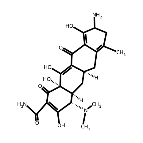 CC1=C2C[C@H]3C[C@H]4[C@H](N(C)C)C(O)=C(C(N)=O)C(=O)[C@@]4(O)C(O)=C3C(=O)C2=C(O)C(N)C1